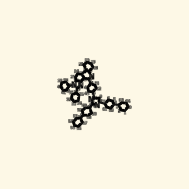 c1ccc(-c2ccc(-c3cc(-c4ccc(-c5nc6ccccc6c6ccc7c(nc(-c8ccccc8)n7-c7ccccc7)c56)cc4)nc(-c4ccc(-c5ccccc5)cc4)n3)cc2)cc1